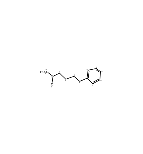 O=C(O)C(Cl)CCCCc1ccccc1